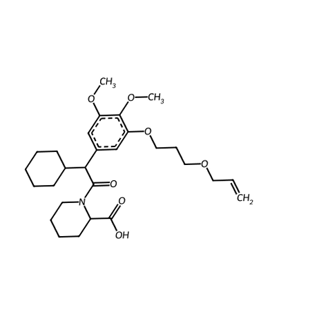 C=CCOCCCOc1cc(C(C(=O)N2CCCCC2C(=O)O)C2CCCCC2)cc(OC)c1OC